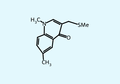 CSCc1cn(C)c2ccc(C)cc2c1=O